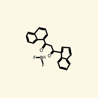 FBF.O=C(CC(=O)c1cccc2ccccc12)c1cccc2ccccc12